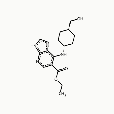 CCOC(=O)c1cnc2[nH]ccc2c1N[C@H]1CC[C@H](CO)CC1